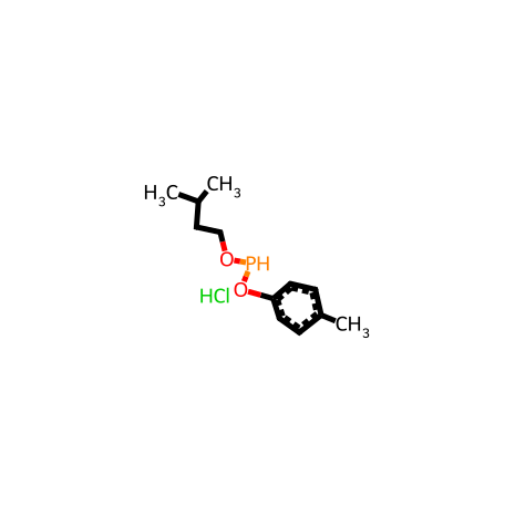 Cc1ccc(OPOCCC(C)C)cc1.Cl